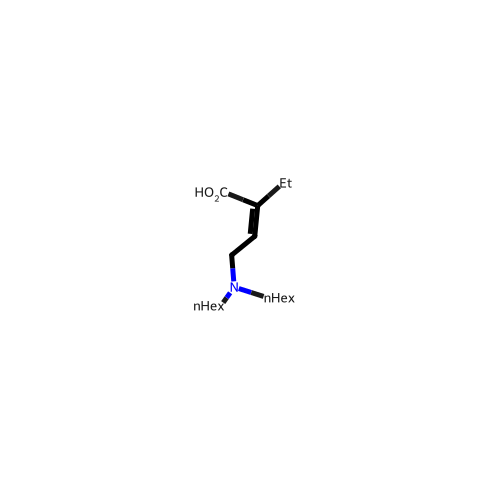 CCCCCCN(CC=C(CC)C(=O)O)CCCCCC